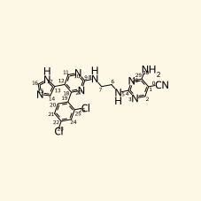 N#Cc1cnc(NCCNc2ncc(-c3cnc[nH]3)c(-c3ccc(Cl)cc3Cl)n2)nc1N